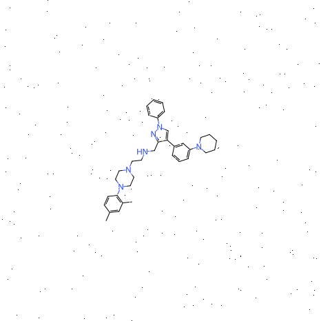 Cc1ccc(N2CCN(CCNCc3nn(-c4ccccc4)cc3-c3cccc(N4CCCCC4)c3)CC2)c(C)c1